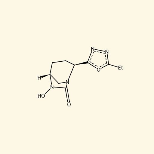 CCc1nnc([C@@H]2CC[C@@H]3CN2C(=O)N3O)o1